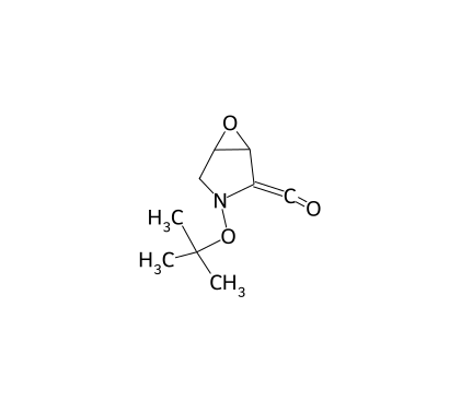 CC(C)(C)ON1CC2OC2C1=C=O